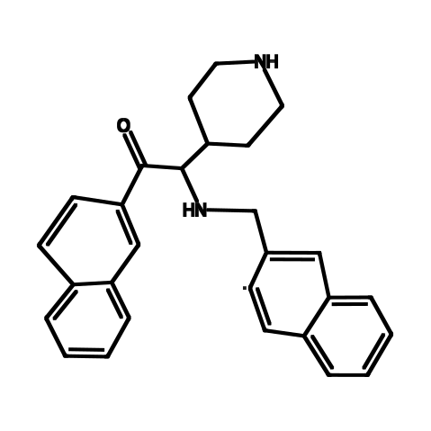 O=C(c1ccc2ccccc2c1)C(NCc1[c]cc2ccccc2c1)C1CCNCC1